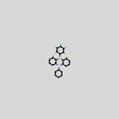 Fc1c(F)c2c3c(c1F)Sc1cccc4c1B3c1c(cccc1N4c1ccccc1)S2